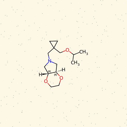 CC(C)OCC1(CN2C[C@H]3OCCO[C@@H]3C2)CC1